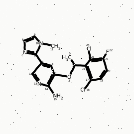 CC(Oc1cc(-c2nccn2C)cnc1N)c1c(Cl)ccc(F)c1Cl